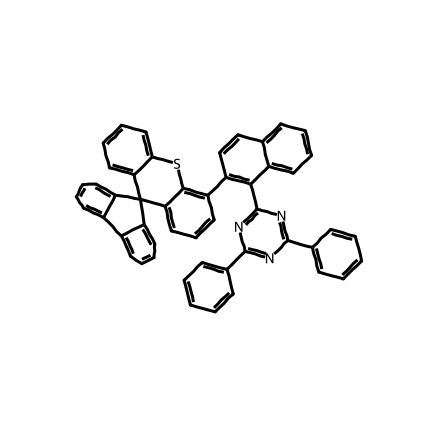 c1ccc(-c2nc(-c3ccccc3)nc(-c3c(-c4cccc5c4Sc4ccccc4C54c5ccccc5-c5ccccc54)ccc4ccccc34)n2)cc1